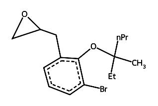 CCCC(C)(CC)Oc1c(Br)cccc1CC1CO1